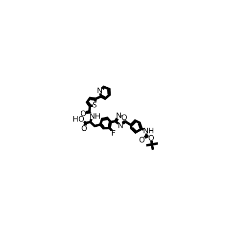 CC(C)(C)OC(=O)Nc1ccc(-c2nc(-c3ccc(CC(NC(=O)c4ccc(-c5ccccn5)s4)C(=O)O)cc3F)no2)cc1